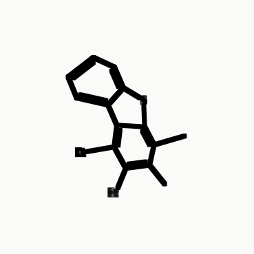 CCc1c(C)c(C)c2sc3ccccc3c2c1CC